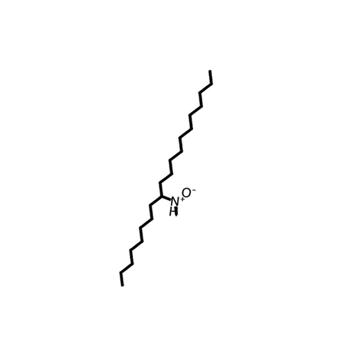 CCCCCCCCCCCC(CCCCCCCC)[NH+](C)[O-]